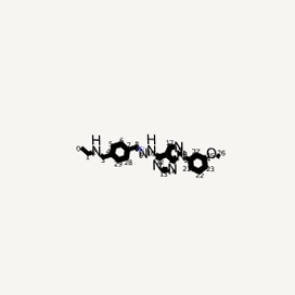 CCNCc1ccc(/C=N/Nc2ncnc3c2cnn3-c2cccc(OC)c2)cc1